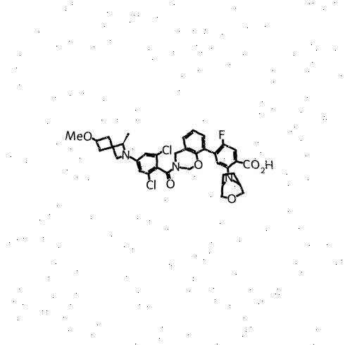 COC1CC2(C1)CN(c1cc(Cl)c(C(=O)N3COc4c(cccc4-c4cc(N5C6CCC5COC6)c(C(=O)O)cc4F)C3)c(Cl)c1)[C@@H]2C